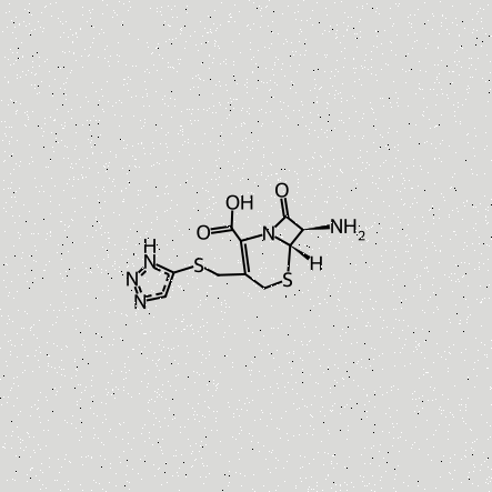 N[C@@H]1C(=O)N2C(C(=O)O)=C(CSc3cnn[nH]3)CS[C@@H]12